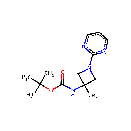 CC1(NC(=O)OC(C)(C)C)CN(c2ncccn2)C1